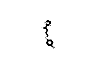 CC(C)c1ccc(OCCCC(=O)c2nccs2)cc1